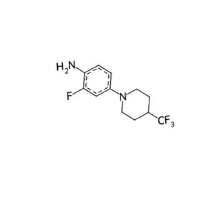 Nc1ccc(N2CCC(C(F)(F)F)CC2)cc1F